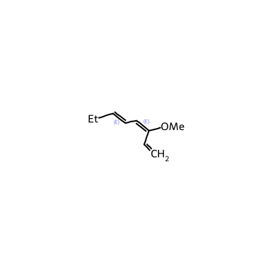 C=C/C(=C\C=C\CC)OC